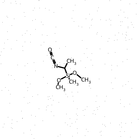 CO[Si](C)(OC)C(C)N=C=O